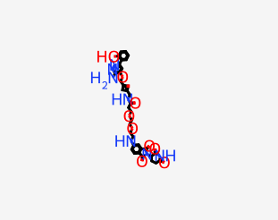 Nc1nnc(-c2ccccc2O)cc1OCC12CC(CNC(=O)CCOCCOCCNc3ccc4c(c3)C(=O)N(C3CCC(=O)NC3=O)C4=O)(C1)C2